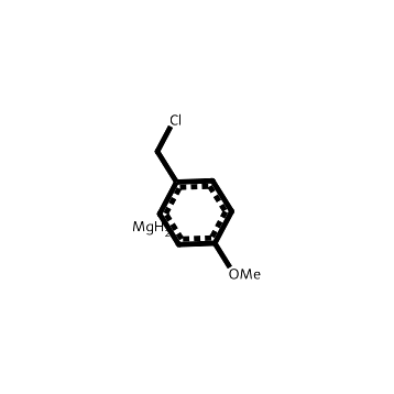 COc1ccc(CCl)cc1.[MgH2]